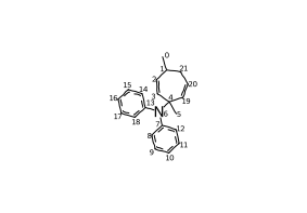 CC1C=CC(C)(N(c2ccccc2)c2ccccc2)C=CC1